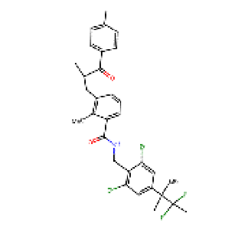 COc1c(CC(C)C(=O)c2ccc(C)cc2)cccc1C(=O)NCc1c(Cl)cc(C(C)(C(C)(C)C)C(C)(F)F)cc1Br